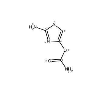 NC(=O)Oc1csc(N)n1